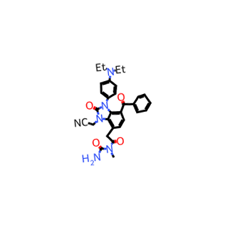 CCN(CC)c1ccc(-n2c(=O)n(CC#N)c3c(CC(=O)N(C)C(N)=O)ccc(C(=O)c4ccccc4)c32)cc1